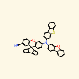 N#Cc1ccc2c(c1)C1(c3ccc(N(c4ccc5c(c4)oc4ccccc45)c4ccc5c(c4)sc4ccccc45)cc3O2)c2ccccc2-c2ccccc21